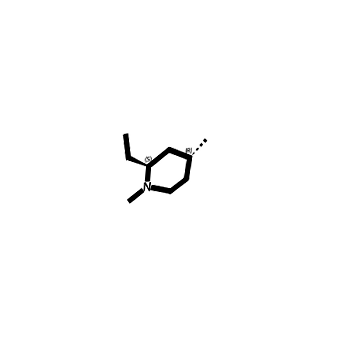 CC[C@H]1C[C@H](C)CCN1C